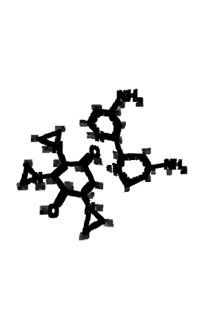 Nc1ccnc(-c2cc(N)ccn2)c1.O=C1C=C(N2CC2)C(=O)C(N2CC2)=C1N1CC1